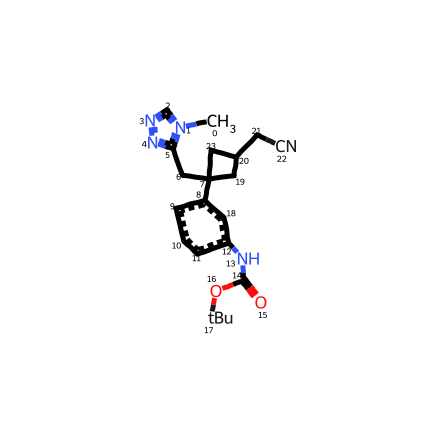 Cn1cnnc1CC1(c2cccc(NC(=O)OC(C)(C)C)c2)CC(CC#N)C1